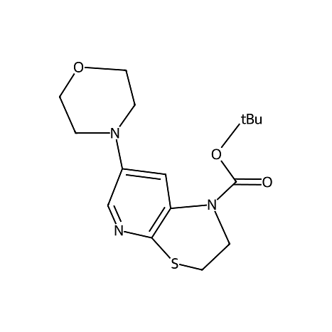 CC(C)(C)OC(=O)N1CCSc2ncc(N3CCOCC3)cc21